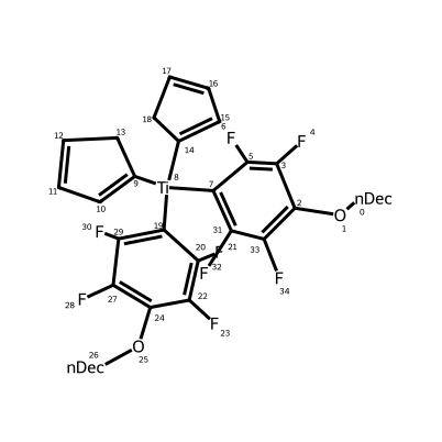 CCCCCCCCCCOc1c(F)c(F)[c]([Ti]([C]2=CC=CC2)([C]2=CC=CC2)[c]2c(F)c(F)c(OCCCCCCCCCC)c(F)c2F)c(F)c1F